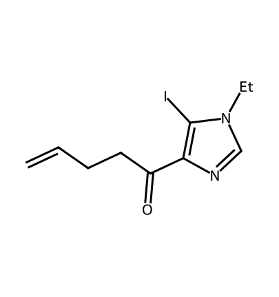 C=CCCC(=O)c1ncn(CC)c1I